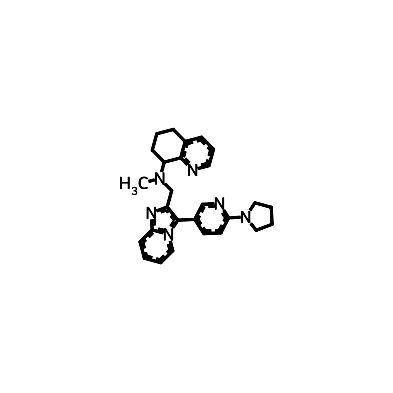 CN(Cc1nc2ccccn2c1-c1ccc(N2CCCC2)nc1)C1CCCc2cccnc21